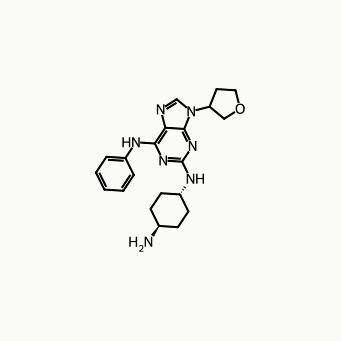 N[C@H]1CC[C@H](Nc2nc(Nc3ccccc3)c3ncn(C4CCOC4)c3n2)CC1